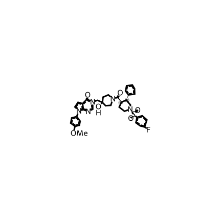 COc1ccc(-n2ccc3c(=O)n(CC4(O)CCN(C(=O)[C@@H]5CCN(S(=O)(=O)c6ccc(F)cc6)C[C@H]5c5ccccc5)CC4)cnc32)cc1